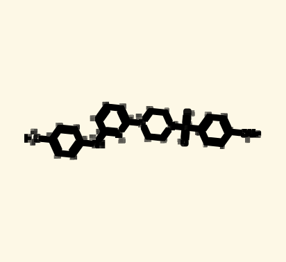 COc1ccc(S(=O)(=O)N2CCN(c3cccc(Nc4ccc(C)cc4)n3)CC2)cc1